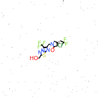 O=C1C[C@@H](CC(F)(F)Cl)CN1Cc1nc2sc(CO)nn2c1C(F)(F)F